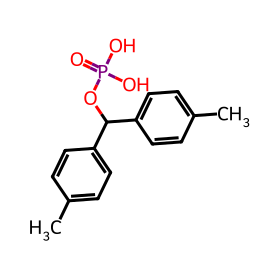 Cc1ccc(C(OP(=O)(O)O)c2ccc(C)cc2)cc1